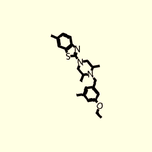 CCOc1cc(C)cc(CN2C(C)CN(c3nc4ccc(C)cc4s3)CC2C)c1